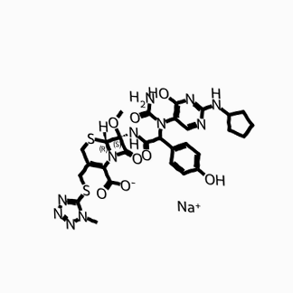 CO[C@@]1(NC(=O)C(c2ccc(O)cc2)N(C(N)=O)c2cnc(NC3CCCC3)nc2O)C(=O)N2C(C(=O)[O-])=C(CSc3nnnn3C)CS[C@@H]21.[Na+]